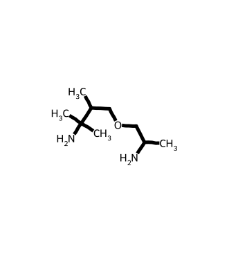 CC(N)COCC(C)C(C)(C)N